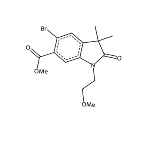 COCCN1C(=O)C(C)(C)c2cc(Br)c(C(=O)OC)cc21